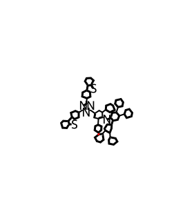 C1=C(c2nc(-c3ccc4c(c3)sc3ccccc34)nc(-c3ccc4c(c3)sc3ccccc34)n2)CC(c2ccccc2)C(n2c3cc(-c4ccccc4)c(-c4ccccc4)cc3c3cc(-c4ccccc4)c(-c4ccccc4)cc32)=C1c1ccccc1